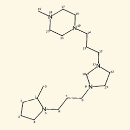 CC1CCCN1CCCN1[C]N(CCCN2CCN(C)CC2)CC1